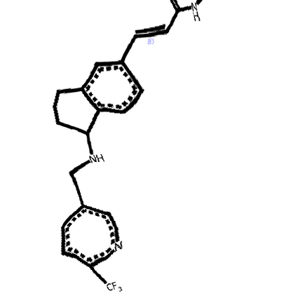 O=C(/C=C/c1ccc2c(c1)CCC2NCc1ccc(C(F)(F)F)nc1)NO